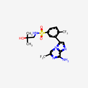 CC(C)(O)CNS(=O)(=O)c1ccc(C(F)(F)F)c(-c2cnc3c(N)nc(C(F)(F)F)cn23)c1